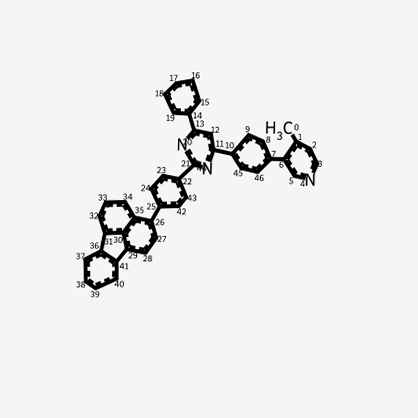 Cc1ccncc1-c1ccc(-c2cc(-c3ccccc3)nc(-c3ccc(-c4ccc5c6c(cccc46)-c4ccccc4-5)cc3)n2)cc1